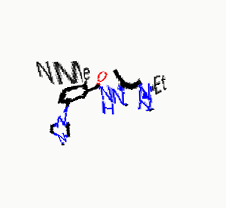 C=NN(/C=C(/C)N(C)NC(=O)c1cc(N2CCN(C)CC2)ccc1NC)CC